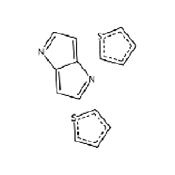 C1=NC2=CC=NC2=C1.c1ccsc1.c1ccsc1